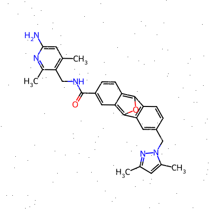 Cc1cc(C)n(Cc2ccc3c(c2)c2oc3c3ccc(C(=O)NCc4c(C)cc(N)nc4C)cc32)n1